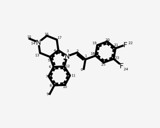 CC(=Cn1c2c(c3cc(C)ccc31)CN(C)CC2)c1ccc(F)c(F)c1